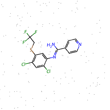 N/C(=N\c1cc(SCC(F)(F)F)c(Cl)cc1Cl)c1ccncc1